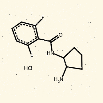 Cl.NC1CCCC1NC(=O)c1c(F)cccc1F